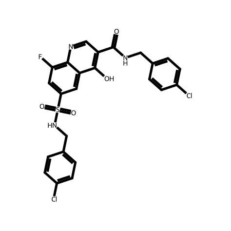 O=C(NCc1ccc(Cl)cc1)c1cnc2c(F)cc(S(=O)(=O)NCc3ccc(Cl)cc3)cc2c1O